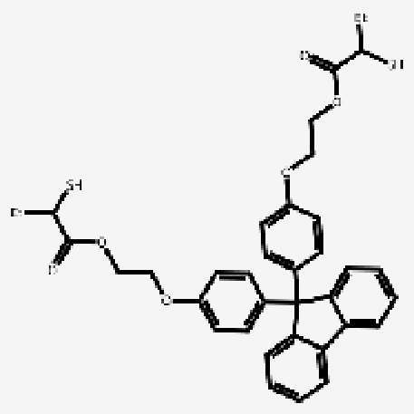 CCC(S)C(=O)OCCOc1ccc(C2(c3ccc(OCCOC(=O)C(S)CC)cc3)c3ccccc3-c3ccccc32)cc1